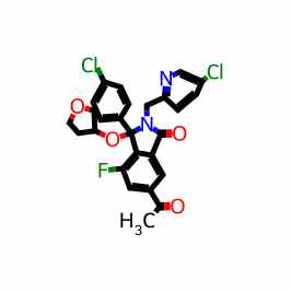 CC(=O)c1cc(F)c2c(c1)C(=O)N(Cc1ccc(Cl)cn1)C2(OC1CCOC1)c1ccc(Cl)cc1